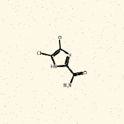 NC(=O)c1nc(Cl)c(Cl)[nH]1